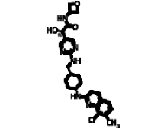 Cc1ccc2ccc(N[C@H]3CC[C@H](CNc4ncc([C@H](O)C(=O)NC5COC5)cn4)CC3)nc2c1Cl